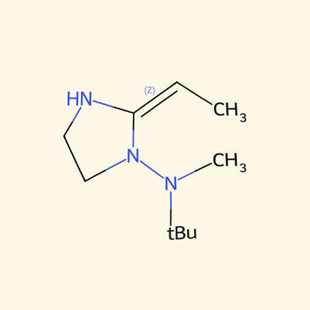 C/C=C1/NCCN1N(C)C(C)(C)C